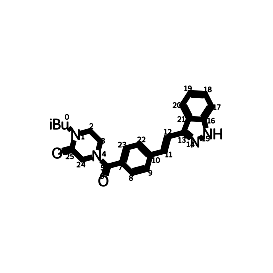 CCC(C)N1CCN(C(=O)c2ccc(C=Cc3n[nH]c4ccccc34)cc2)CC1=O